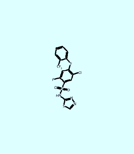 O=S(=O)(Nc1nncs1)c1cc(Cl)c(Sc2ccccc2C(F)(F)F)cc1F